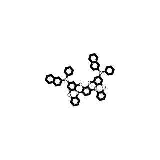 c1ccc(N(c2cc3c4c(c2)Oc2c(ccc5c2Oc2cc(N(c6ccccc6)c6ccc7ccccc7c6)cc6c2B5c2ccccc2O6)B4c2ccccc2O3)c2ccc3ccccc3c2)cc1